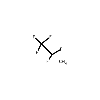 C.FC(F)C(F)(F)F